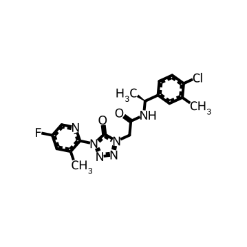 Cc1cc([C@H](C)NC(=O)Cn2nnn(-c3ncc(F)cc3C)c2=O)ccc1Cl